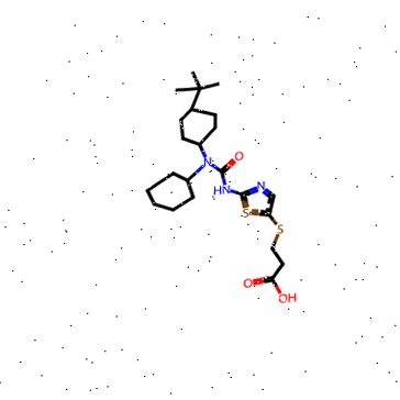 CC(C)(C)C1CCC(N(C(=O)Nc2ncc(SCCC(=O)O)s2)C2CCCCC2)CC1